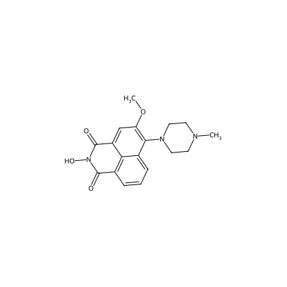 COc1cc2c3c(cccc3c1N1CCN(C)CC1)C(=O)N(O)C2=O